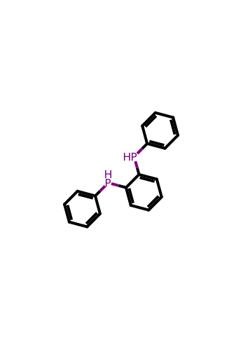 c1ccc(Pc2ccccc2Pc2ccccc2)cc1